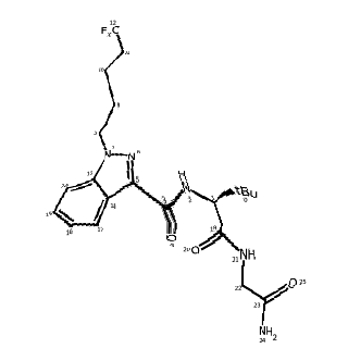 CC(C)(C)[C@H](NC(=O)c1nn(CCCCC(F)(F)F)c2ccccc12)C(=O)NCC(N)=O